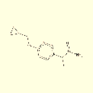 CC(C(N)=O)c1ccc(OCC2CC2)nn1